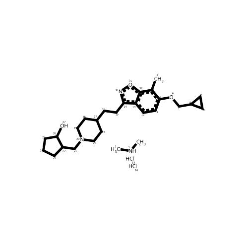 CNC.Cc1c(OCC2CC2)ccc2c(CCC3CCN(CC4CCCC4O)CC3)noc12.Cl.Cl